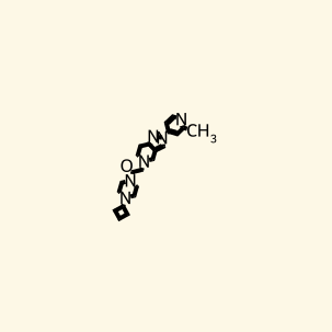 Cc1cc(-n2cc3c(n2)CCN(CC(=O)N2CCN(C4CCC4)CC2)C3)ccn1